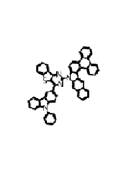 c1ccc(-n2c3ccccc3c3cc(-c4nc(-n5c6cc7ccccc7cc6c6c7c8ccccc8c8ccccc8c7ccc65)nc5c4sc4ccccc45)ccc32)cc1